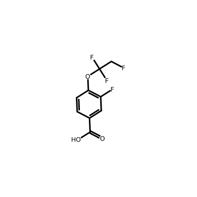 O=C(O)c1ccc(OC(F)(F)CF)c(F)c1